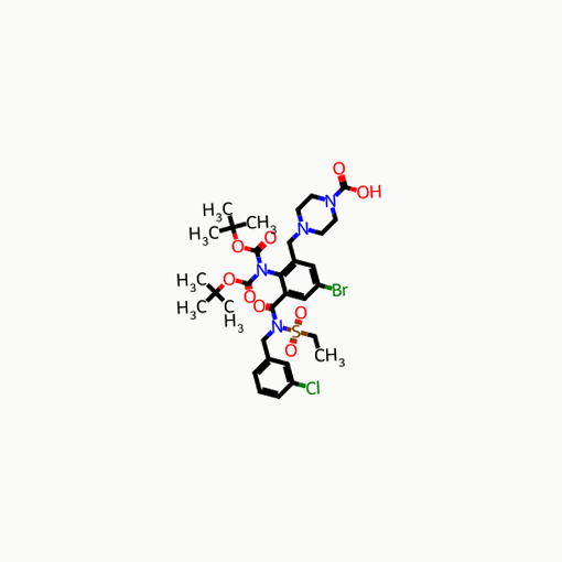 CCS(=O)(=O)N(Cc1cccc(Cl)c1)C(=O)c1cc(Br)cc(CN2CCN(C(=O)O)CC2)c1N(C(=O)OC(C)(C)C)C(=O)OC(C)(C)C